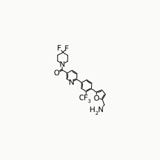 NCc1ccc(-c2ccc(-c3ccc(C(=O)N4CCC(F)(F)CC4)cn3)cc2C(F)(F)F)o1